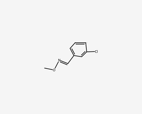 CO/N=C/c1cc[c]c(Cl)c1